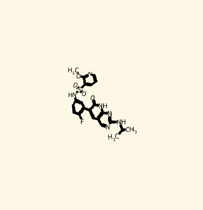 COc1ncccc1S(=O)(=O)Nc1ccc(F)c(-c2cc3cnc(NC(C)C)nc3[nH]c2=O)c1